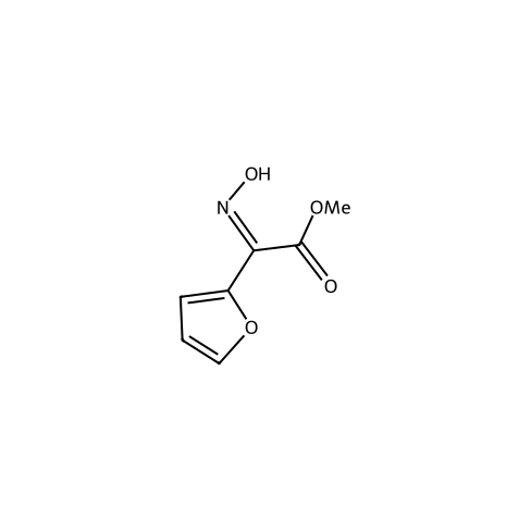 COC(=O)C(=NO)c1ccco1